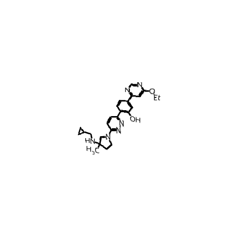 CCOc1cc(-c2ccc(-c3ccc(N4CCC(C)(NCC5CC5)C4)nn3)c(O)c2)ncn1